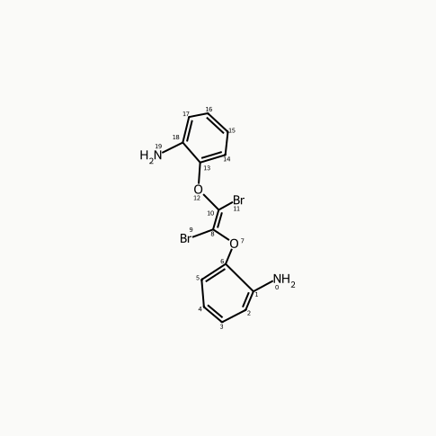 Nc1ccccc1OC(Br)=C(Br)Oc1ccccc1N